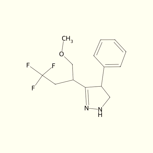 COCC(CC(F)(F)F)C1=NNCC1c1ccccc1